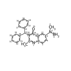 BN(C)c1ccc2nc(C)n(C(c3ccccc3)c3ccccc3)c(=O)c2c1